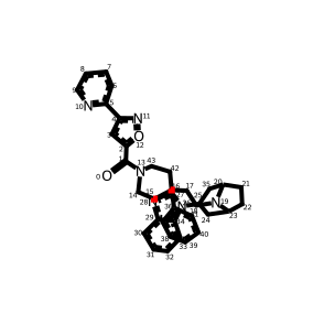 O=C(c1cc(-c2ccccn2)no1)N1CCC(CCN2C3CCC2CC(n2cnc4ccccc42)C3)(c2ccccc2)CC1